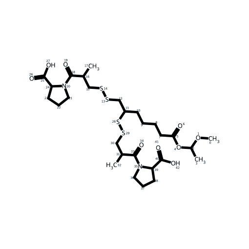 COC(C)OC(=O)CCCCC(CSSCC(C)C(=O)N1CCCC1C(=O)O)SSCC(C)C(=O)N1CCCC1C(=O)O